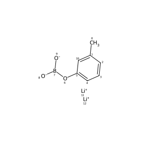 Cc1cccc(OB([O-])[O-])c1.[Li+].[Li+]